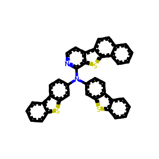 c1ccc2c(c1)ccc1c3ccnc(N(c4ccc5c(c4)sc4ccccc45)c4ccc5c(c4)sc4ccccc45)c3sc21